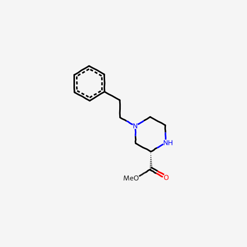 COC(=O)[C@@H]1CN(CCc2ccccc2)CCN1